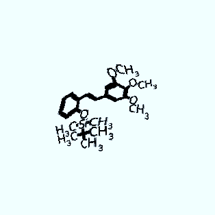 COc1cc(C=Cc2ccccc2O[Si](C)(C)C(C)(C)C)cc(OC)c1OC